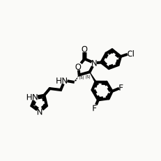 O=C1O[C@@H](CNCCc2cnc[nH]2)[C@H](c2cc(F)cc(F)c2)N1c1ccc(Cl)cc1